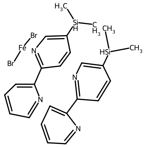 C[SiH](C)c1ccc(-c2ccccn2)nc1.C[SiH](C)c1ccc(-c2ccccn2)nc1.[Br][Fe][Br]